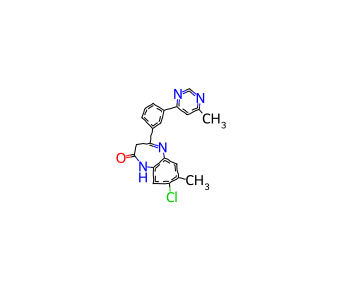 Cc1cc(-c2cccc(C3=Nc4cc(C)c(Cl)cc4NC(=O)C3)c2)ncn1